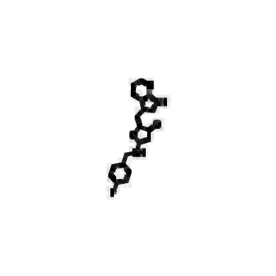 O=C1C=C(NCc2ccc(F)cc2)O/C1=C/c1c[nH]c2ncccc12